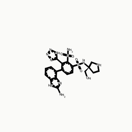 Nc1nc2c(-c3ccc(S(=O)(=O)N[C@@]4(CO)CCNC4)c(S(N)(=O)=O)c3-c3nnn[nH]3)cccc2[nH]1